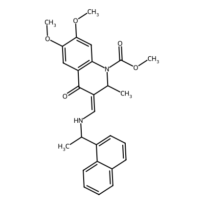 COC(=O)N1c2cc(OC)c(OC)cc2C(=O)C(=CNC(C)c2cccc3ccccc23)C1C